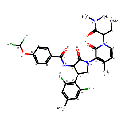 COCC(C(=O)N(C)C)n1ccc(C)c(N2C[C@@H](c3c(F)cc(OC)cc3F)C(NC(=O)c3ccc(OC(F)F)cc3)C2=O)c1=O